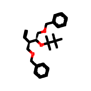 C=C[C@H](COCc1ccccc1)[C@H](COCc1ccccc1)O[Si](C)(C)C(C)(C)C